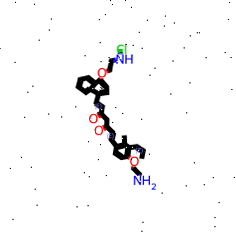 C/C=C\c1c(OCCN)ccc(/C=C/C(=O)CC(=O)/C=C/c2ccc(OCCNCl)c3ccccc23)c1C